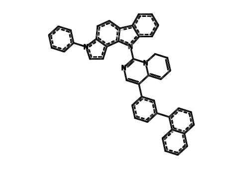 C1=CCN2C(=C1)C(c1cccc(-c3cccc4ccccc34)c1)=CN=C2n1c2ccccc2c2ccc3c(ccn3-c3ccccc3)c21